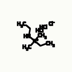 CCN[N+](C)(C)CC.Cl.Cl.[Cl-]